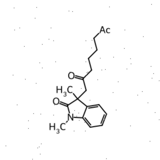 CC(=O)CCCCC(=O)CC1(C)C(=O)N(C)c2ccccc21